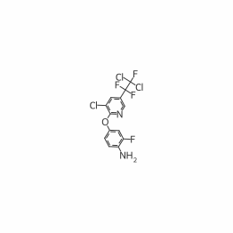 Nc1ccc(Oc2ncc(C(F)(F)C(F)(Cl)Cl)cc2Cl)cc1F